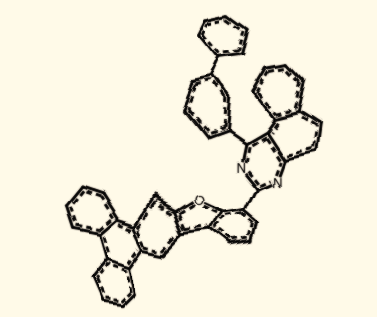 c1ccc(-c2cccc(-c3nc(-c4cccc5c4oc4cc6c7ccccc7c7ccccc7c6cc45)nc4ccc5ccccc5c34)c2)cc1